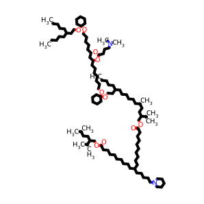 CCCCCC(CCCCC)CCOC1(OCCCCCCCC(CCCCCCCOC2(OCCC(CCCCC)CCCCCCC(C)CCC(COC(=O)CCCCCCCCCC(CCCCCCCCCC(=O)OCC(CCC(C)C)C(C)C)CCCCCN3CCCCC3)C(C)C)CCCCC2)OC(=O)CCCN(C)C)CCCCC1